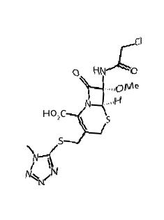 CO[C@@]1(NC(=O)CCl)C(=O)N2C(C(=O)O)=C(CSc3nnnn3C)CS[C@@H]21